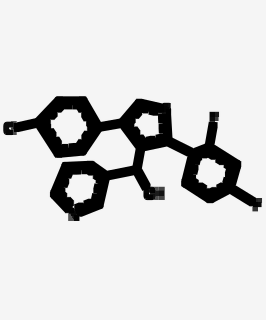 OC(c1cccnc1)c1c(-c2ccc(Cl)cc2)csc1-c1ccc(F)cc1F